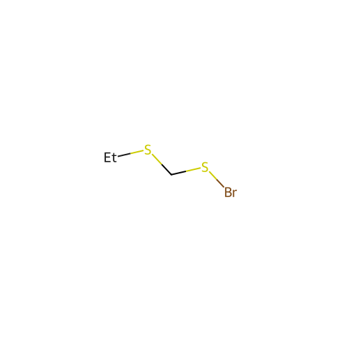 CCSCSBr